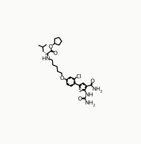 CC(C)C[C@@H](NCCCCCOc1ccc(-c2cc(C(N)=O)c(NC(N)=O)s2)c(Cl)c1)C(=O)OC1CCCC1